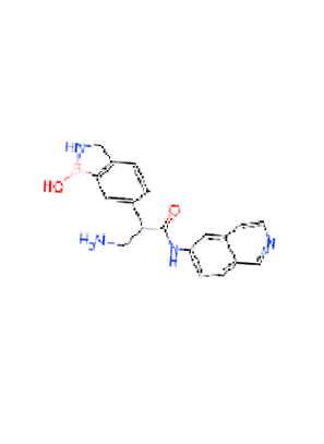 NCC(C(=O)Nc1ccc2cnccc2c1)c1ccc2c(c1)B(O)NC2